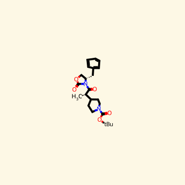 C[C@H](C(=O)N1C(=O)OC[C@@H]1Cc1ccccc1)C1CCN(C(=O)OC(C)(C)C)CC1